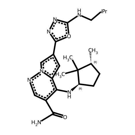 CC(C)CNc1nnc(-c2cc3c(N[C@@H]4CC[C@@H](C)C4(C)C)c(C(N)=O)cnn3c2)o1